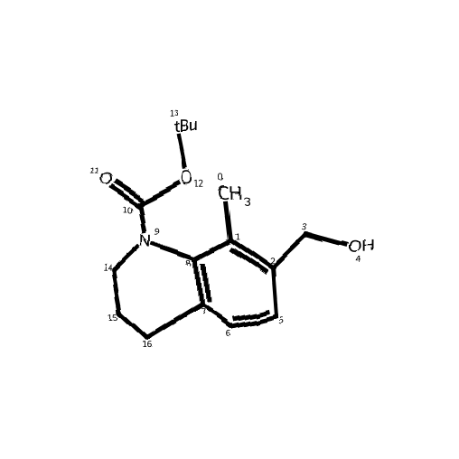 Cc1c(CO)ccc2c1N(C(=O)OC(C)(C)C)CCC2